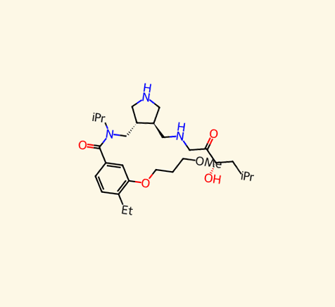 CCc1ccc(C(=O)N(C[C@@H]2CNC[C@H]2CNCC(=O)[C@@H](O)CC(C)C)C(C)C)cc1OCCCOC